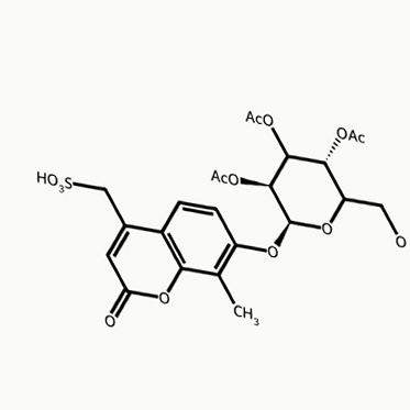 CC(=O)OCC1O[C@@H](Oc2ccc3c(CS(=O)(=O)O)cc(=O)oc3c2C)[C@@H](OC(C)=O)C(OC(C)=O)[C@@H]1OC(C)=O